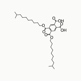 CC(C)CCCCCCCCOC(=O)c1cc(C(=O)O)c(C(=O)O)cc1C(=O)OCCCCCCCCC(C)C